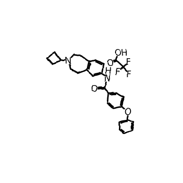 O=C(Nc1ccc2c(c1)CCN(C1CCC1)CC2)c1ccc(Oc2ccccc2)cc1.O=C(O)C(F)(F)F